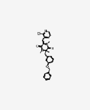 CN1C(=O)C(C)(Cc2cccc(OCc3ccccc3)c2)N(C)C(=O)C1=Cc1cccnc1Cl